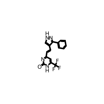 O=c1nc(C=Cc2c[nH]nc2-c2ccccc2)cc(C(F)(F)F)[nH]1